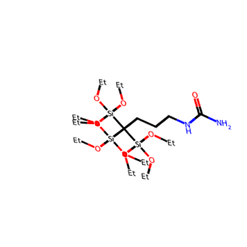 CCO[Si](OCC)(OCC)C(CCCNC(N)=O)([Si](OCC)(OCC)OCC)[Si](OCC)(OCC)OCC